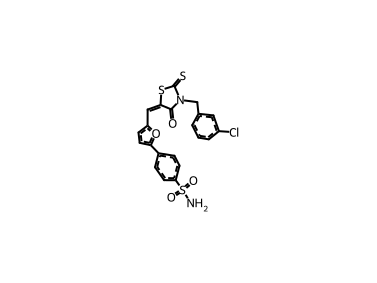 NS(=O)(=O)c1ccc(-c2ccc(C=C3SC(=S)N(Cc4cccc(Cl)c4)C3=O)o2)cc1